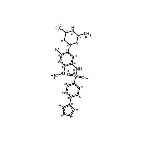 COc1cc(F)c(N2CC(C)NC(C)C2)cc1NS(=O)(=O)c1ccc(-c2cccs2)cc1